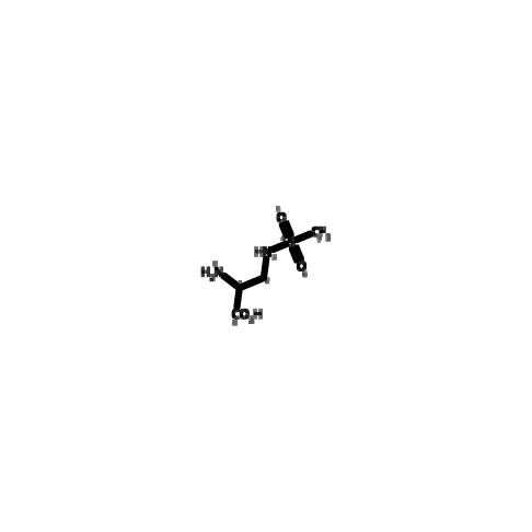 NC(CNS(=O)(=O)C(F)(F)F)C(=O)O